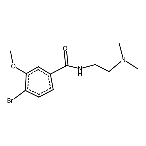 COc1cc(C(=O)NCCN(C)C)ccc1Br